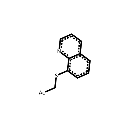 CC(=O)CSc1cccc2cccnc12